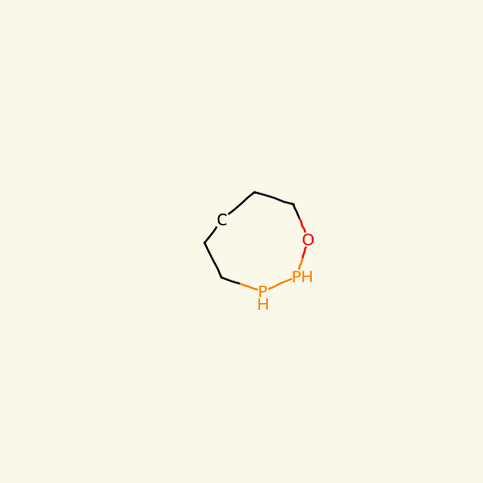 C1CCOPPCC1